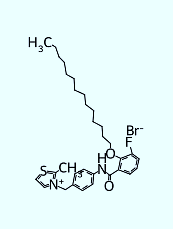 CCCCCCCCCCCCCCOc1c(F)cccc1C(=O)Nc1ccc(C[n+]2ccsc2C)cc1.[Br-]